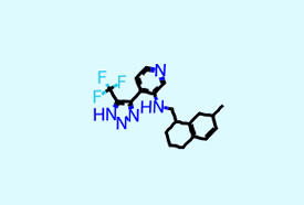 CC1C=CC2=C(C1)C(CNc1cnccc1-c1nn[nH]c1C(F)(F)F)CCC2